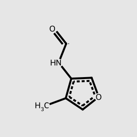 Cc1cocc1N[C]=O